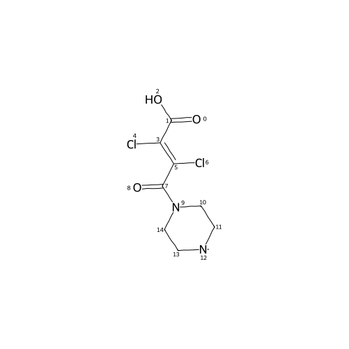 O=C(O)C(Cl)=C(Cl)C(=O)N1CC[N]CC1